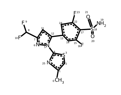 Cc1csc(-n2nc(C(F)F)cc2-c2cc(F)c(S(N)(=O)=O)c(F)c2)n1